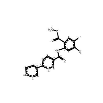 COC(=O)c1cc(F)c(Cl)cc1NC(=O)c1ccc(-c2ccnnc2)nn1